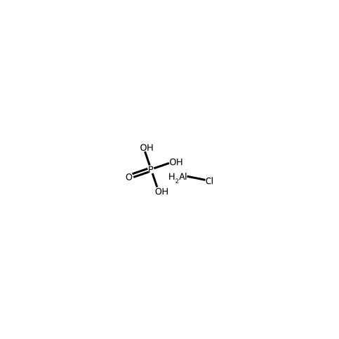 O=P(O)(O)O.[AlH2][Cl]